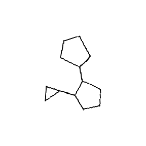 C1CCC(C2CCCC2C2CC2)C1